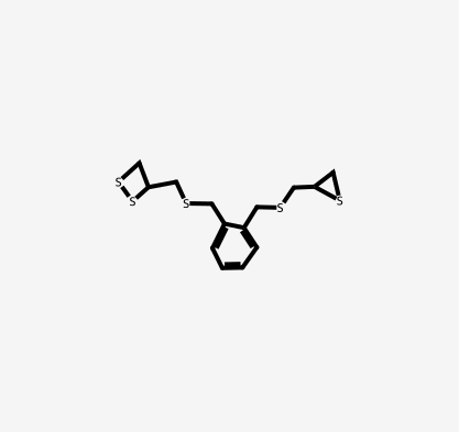 c1ccc(CSCC2CSS2)c(CSCC2CS2)c1